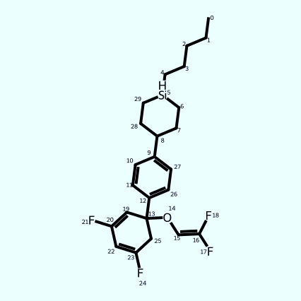 CCCCC[SiH]1CCC(c2ccc(C3(OC=C(F)F)C=C(F)C=C(F)C3)cc2)CC1